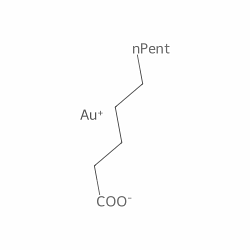 CCCCCCCCCC(=O)[O-].[Au+]